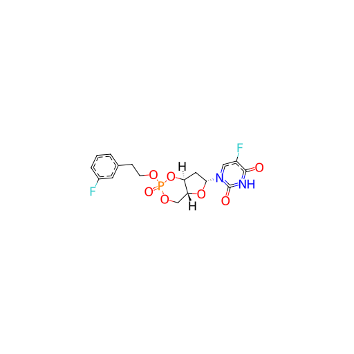 O=c1[nH]c(=O)n([C@H]2C[C@@H]3OP(=O)(OCCc4cccc(F)c4)OC[C@H]3O2)cc1F